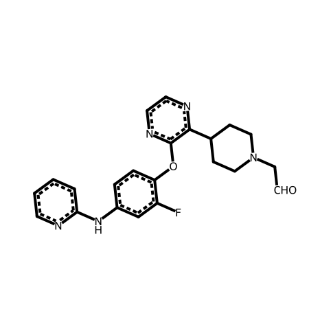 O=CCN1CCC(c2nccnc2Oc2ccc(Nc3ccccn3)cc2F)CC1